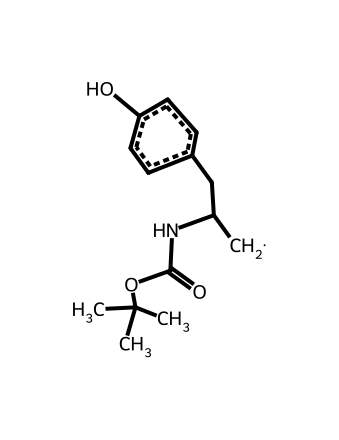 [CH2]C(Cc1ccc(O)cc1)NC(=O)OC(C)(C)C